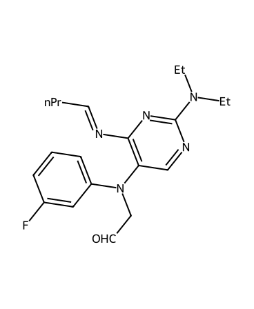 [CH2]CCC=Nc1nc(N(CC)CC)ncc1N(CC=O)c1cccc(F)c1